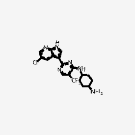 NC1CCC(Nc2nc(-c3c[nH]c4ncc(Cl)cc34)ncc2C(F)(F)F)CC1